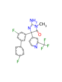 CN1C(=O)C(c2cc(F)cc(-c3ccc(F)cc3)c2)(c2ccnc(C(F)(F)F)c2)N=C1N